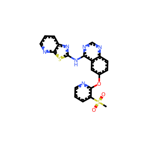 CS(=O)(=O)c1cccnc1Oc1ccc2ncnc(Nc3nc4cccnc4s3)c2c1